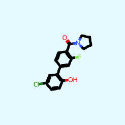 O=C(c1ccc(-c2cc(Cl)ccc2O)cc1F)N1CCCC1